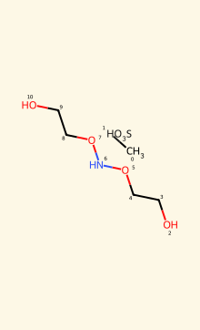 CS(=O)(=O)O.OCCONOCCO